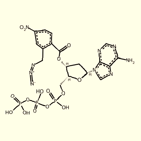 [N-]=[N+]=NCc1cc([N+](=O)[O-])ccc1C(=O)O[C@@H]1C[C@H](n2cnc3c(N)ncnc32)O[C@@H]1COP(=O)(O)OP(=O)(O)OP(=O)(O)O